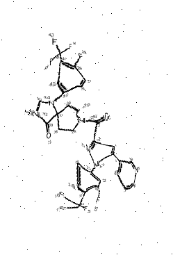 O=C(c1cc(-c2cccnc2)n(-c2ccc(C(F)(F)F)c(F)c2)n1)N1CCC2(CC1)C(=O)NCN2c1ccc(F)c(C(F)(F)F)c1